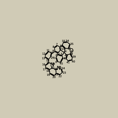 c1ccc(C2(c3cccc(-c4cccc(-c5ccc6ccc7cccnc7c6n5)c4)c3)c3ccccc3Oc3ccccc32)cc1